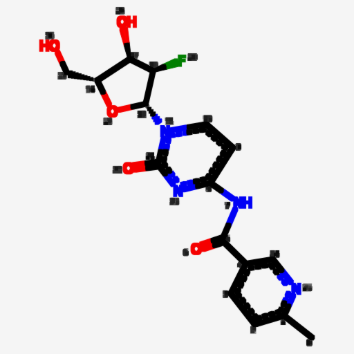 Cc1ccc(C(=O)Nc2ccn([C@@H]3O[C@H](CO)[C@@H](O)[C@H]3F)c(=O)n2)cn1